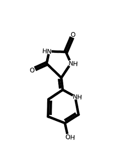 O=C1NC(=O)C(=C2C=CC(O)=CN2)N1